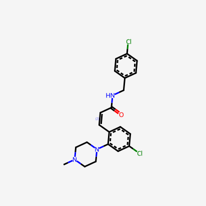 CN1CCN(c2cc(Cl)ccc2/C=C\C(=O)NCc2ccc(Cl)cc2)CC1